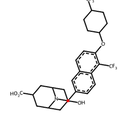 O=C(O)C1CC2CC(O)CC(C1)N2Cc1ccc2c(C(F)(F)F)c(OC3CCC(C(F)(F)F)CC3)ccc2c1